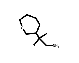 CC(C)(CN)C1[CH]CCCCC1